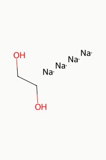 OCCO.[Na].[Na].[Na].[Na]